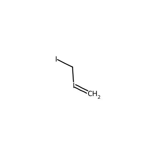 C=ICI